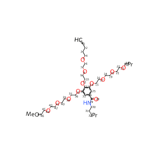 C#CCCCOCCOCCOc1c(OCCOCCOCCOCCC)cc(C(=O)NCCC(C)C)cc1OCCOCCOCCOCCOC